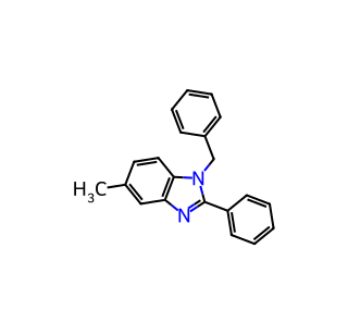 Cc1ccc2c(c1)nc(-c1ccccc1)n2Cc1ccccc1